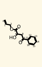 C=CCOC(=O)C(O)CC(=O)c1ccccc1